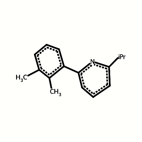 Cc1cccc(-c2cccc(C(C)C)n2)c1C